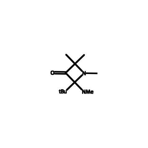 CNC1(C(C)(C)C)C(=O)C(C)(C)N1C